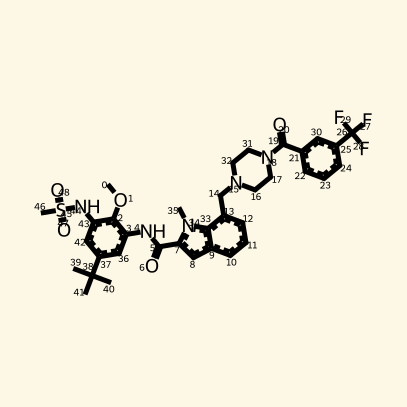 COc1c(NC(=O)c2cc3cccc(CN4CCN(C(=O)c5cccc(C(F)(F)F)c5)CC4)c3n2C)cc(C(C)(C)C)cc1NS(C)(=O)=O